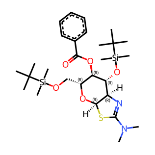 CN(C)C1=N[C@@H]2[C@@H](O[Si](C)(C)C(C)(C)C)[C@H](OC(=O)c3ccccc3)[C@@H](CO[Si](C)(C)C(C)(C)C)O[C@@H]2S1